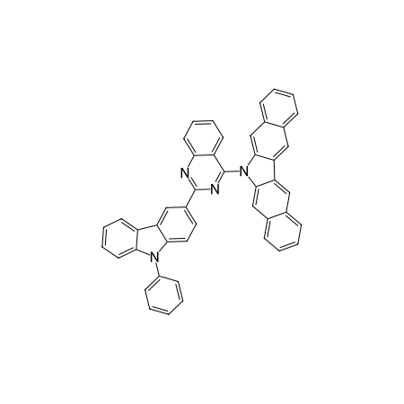 c1ccc(-n2c3ccccc3c3cc(-c4nc(-n5c6cc7ccccc7cc6c6cc7ccccc7cc65)c5ccccc5n4)ccc32)cc1